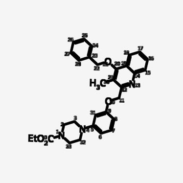 CCOC(=O)N1CCN(c2cccc(OCc3nc4ccccc4c(OCc4ccccc4)c3C)c2)CC1